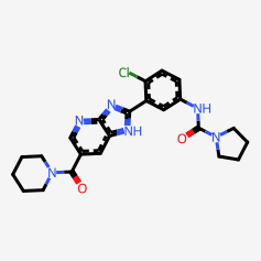 O=C(Nc1ccc(Cl)c(-c2nc3ncc(C(=O)N4CCCCC4)cc3[nH]2)c1)N1CCCC1